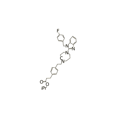 CC(C)OC(=O)CCc1ccc(CCN2CCCN(c3nc4ccccc4n3Cc3ccc(F)cc3)CCC2)cc1